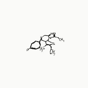 CC1=C(C)C2C(c3ccc(Cl)cc3)=NCc3nnc(C)n3C2S1